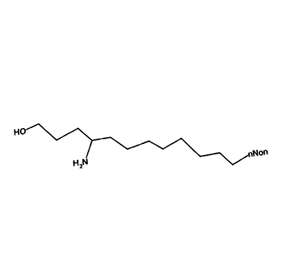 CCCCCCCCCCCCCCCCCC(N)CCCO